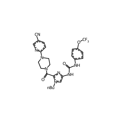 CCCCn1cc(NC(=O)Nc2ccc(OC(F)(F)F)cc2)nc1C(=O)N1CCN(c2ccc(C#N)cn2)CC1